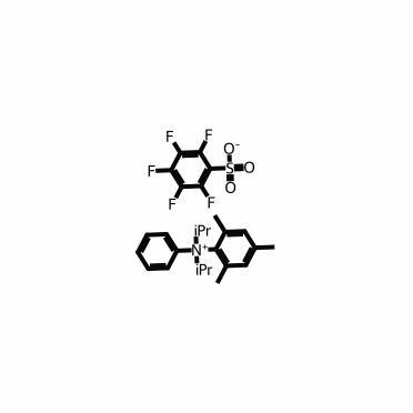 Cc1cc(C)c([N+](c2ccccc2)(C(C)C)C(C)C)c(C)c1.O=S(=O)([O-])c1c(F)c(F)c(F)c(F)c1F